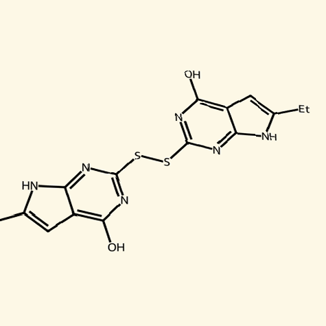 CCc1cc2c(O)nc(SSc3nc(O)c4cc(CC)[nH]c4n3)nc2[nH]1